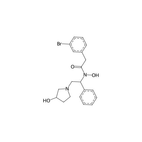 O=C(Cc1cccc(Br)c1)N(O)C(CN1CCC(O)C1)c1ccccc1